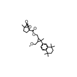 COCC1C(COC(=O)C23CCC(C)(C(=O)O2)C3(C)C)C1(C)c1ccc2c(c1)C(C)(C)CCC2(C)C